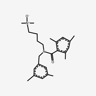 Cc1cc(C)cc(CN(CCCC[N+](C)(C)[O-])C(=O)c2c(C)cc(C)cc2C)c1